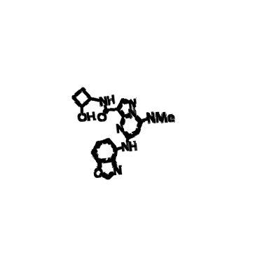 CNc1cc(Nc2cccc3ocnc23)nc2c(C(=O)NC3CCC3O)cnn12